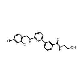 O=C(NCCO)c1cccc(-c2cccc(NCc3ccc(Cl)cc3Cl)n2)c1